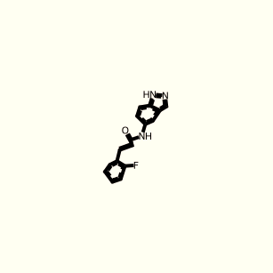 O=C(/C=C/c1ccccc1F)Nc1ccc2[nH]ncc2c1